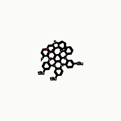 CC(C)(C)c1ccc2c(c1)B1c3ccccc3Sc3c1c1c4c(c3-c3cccc5sc6ccccc6c35)N(c3c(F)cccc3F)c3ccc(C(C)(C)C)cc3B4c3cc(C(C)(C)C)ccc3N21